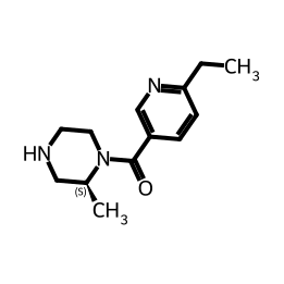 CCc1ccc(C(=O)N2CCNC[C@@H]2C)cn1